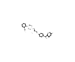 N#Cc1ccccc1N1CCN(CC(O)COc2ccc(-c3noc4cc(F)ccc34)cc2)CC1